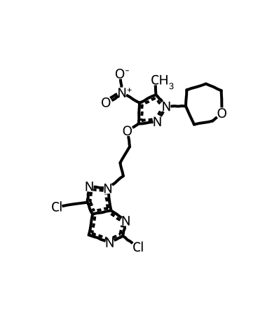 Cc1c([N+](=O)[O-])c(OCCCn2nc(Cl)c3cnc(Cl)nc32)nn1C1CCCOCC1